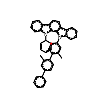 Cc1cc(-c2ccccc2)ccc1-c1ccc(-n2c3ccccc3c3ccc4c5ccccc5n(C5C=CC=CC5)c4c32)cc1C